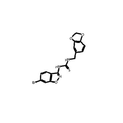 S=C(NCc1ccc2c(c1)OCO2)Nc1noc2cc(Br)ccc12